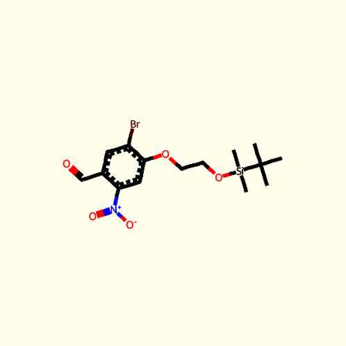 CC(C)(C)[Si](C)(C)OCCOc1cc([N+](=O)[O-])c(C=O)cc1Br